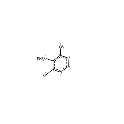 CCOC(=O)c1c(C(F)(F)F)ccnc1Cl